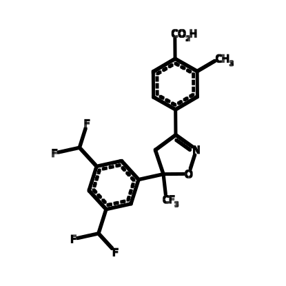 Cc1cc(C2=NOC(c3cc(C(F)F)cc(C(F)F)c3)(C(F)(F)F)C2)ccc1C(=O)O